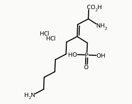 Cl.Cl.NCCCCCCC(=CC(N)C(=O)O)CP(=O)(O)O